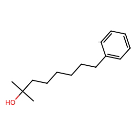 CC(C)(O)CCCCCCc1[c]cccc1